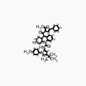 Cc1ccc(-n2nc(C(C)(C)C)cc2NC(=O)Nc2ccccc2C(C(=O)c2cc(-c3ccccc3)oc2C)C2CCNCC2)cc1